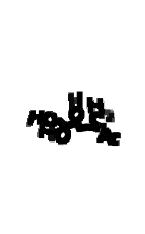 C=C(CC(O)C(O)CO)C(C)=O